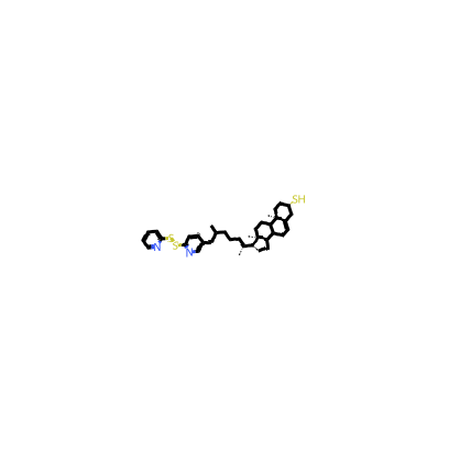 CC(CCC[C@@H](C)[C@H]1CCC2C3CC=C4C[C@@H](S)CC[C@]4(C)C3CC[C@@]21C)Cc1ccc(SSc2ccccn2)nc1